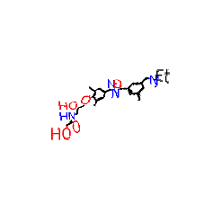 CCN(C)Cc1cc(C)cc(-c2nc(-c3cc(C)c(OCC(O)CNC(=O)CO)c(C)c3)no2)c1